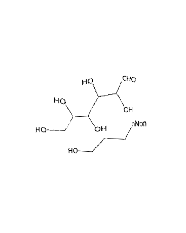 CCCCCCCCCCCCO.O=CC(O)C(O)C(O)C(O)CO